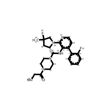 CC(C)(C)CC(=O)N1CCN(C(=O)Nc2c(-c3ccccc3F)ccnc2N2CCC(C)(F)C2)CC1